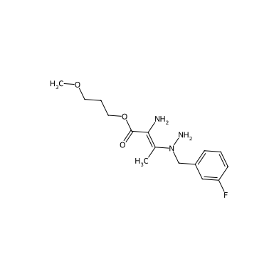 COCCCOC(=O)/C(N)=C(\C)N(N)Cc1cccc(F)c1